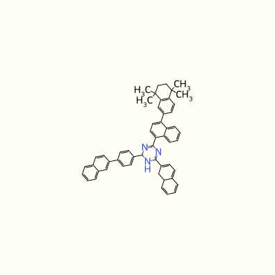 CC1(C)CCC(C)(C)c2cc(-c3ccc(C4=NC(c5ccc(-c6ccc7ccccc7c6)cc5)NC(C5=CC=C6C=CC=CC6C5)=N4)c4ccccc34)ccc21